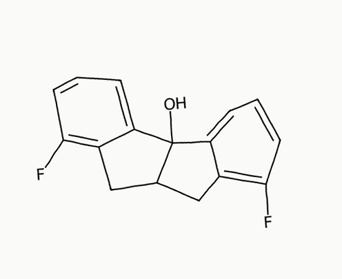 OC12c3cccc(F)c3CC1Cc1c(F)cccc12